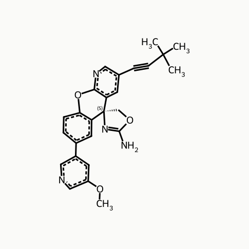 COc1cncc(-c2ccc3c(c2)[C@@]2(COC(N)=N2)c2cc(C#CC(C)(C)C)cnc2O3)c1